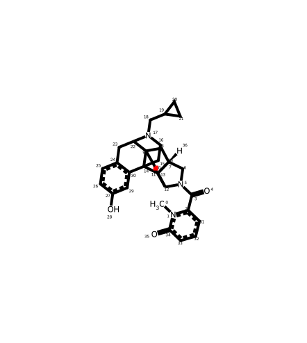 Cn1c(C(=O)N2C[C@H]3CC45CCC2C3C42CCN(CC3CC3)C5Cc3ccc(O)cc32)cccc1=O